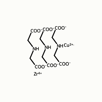 O=C([O-])CNCC(=O)[O-].O=C([O-])CNCC(=O)[O-].O=C([O-])CNCC(=O)[O-].[Cu+2].[Zr+4]